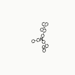 C1=CC2=CC=CC3C2C(=C1)C31c2cccc3c(-c4ccc(N(c5ccc(-c6ccccc6)cc5)c5ccc(-c6cccc7c6oc6ccccc67)cc5)cc4)ccc1c23